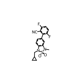 CN1c2cc(-c3c(F)ccc(F)c3C#N)ccc2N(CC2CC2)S1(=O)=O